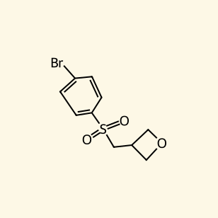 O=S(=O)(CC1COC1)c1ccc(Br)cc1